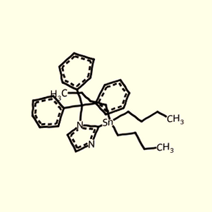 CCC[CH2][Sn]([CH2]CCC)([CH2]CCC)[c]1nccn1C(c1ccccc1)(c1ccccc1)c1ccccc1